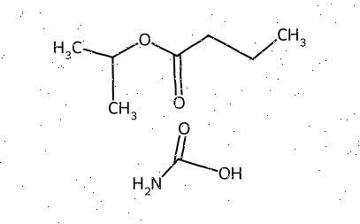 CCCC(=O)OC(C)C.NC(=O)O